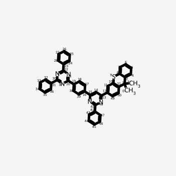 CC1(C)c2ccccc2Sc2cc(-c3cc(-c4ccc(-c5nc(-c6ccccc6)nc(-c6ccccc6)n5)cc4)nc(-c4ccccc4)n3)ccc21